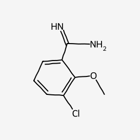 COc1c(Cl)cccc1C(=N)N